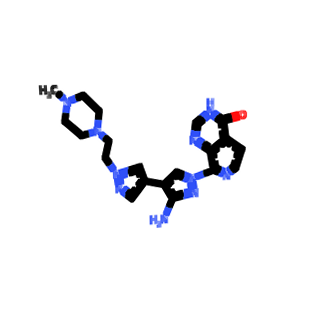 CN1CCN(CCn2cc(-c3cn(-c4nccc5c(=O)[nH]cnc45)nc3N)cn2)CC1